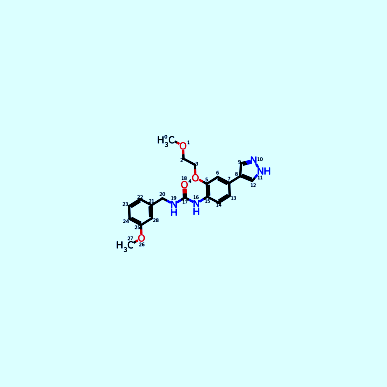 COCCOc1cc(-c2cn[nH]c2)ccc1NC(=O)NCc1cccc(OC)c1